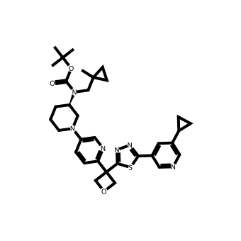 CC1(CN(C(=O)OC(C)(C)C)[C@@H]2CCCN(c3ccc(C4(c5nnc(-c6cncc(C7CC7)c6)s5)COC4)nc3)C2)CC1